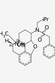 CC(C)CN(C1CC[C@@]2(O)[C@H]3Cc4cccc5c4[C@@]2(CCN3C)C1O5)S(=O)(=O)Cc1ccccc1